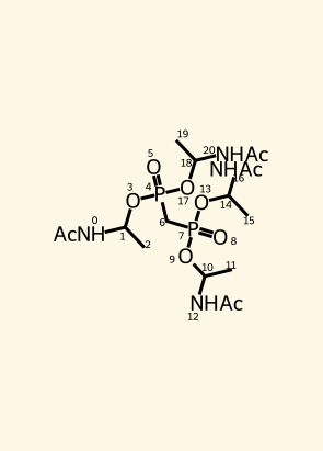 CC(=O)NC(C)OP(=O)(CP(=O)(OC(C)NC(C)=O)OC(C)NC(C)=O)OC(C)NC(C)=O